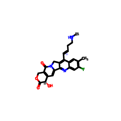 CCNCC/C=C/c1c2c(nc3cc(F)c(C)cc13)-c1cc3c(c(=O)n1C2)COC(=O)[C@H]3O